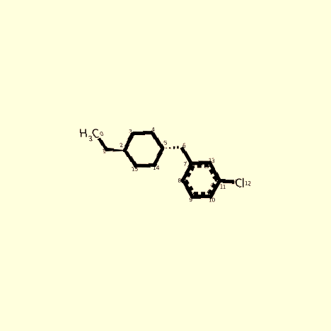 CC[C@H]1CC[C@H](Cc2cccc(Cl)c2)CC1